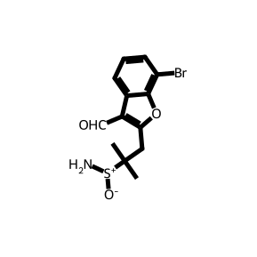 CC(C)(Cc1oc2c(Br)cccc2c1C=O)[S+](N)[O-]